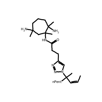 C/C=C\C(C)(CCCCC)n1cc(CCC(=O)NC2(C)CC(C)(N)CCCC2(C)N)nn1